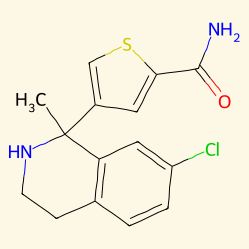 CC1(c2csc(C(N)=O)c2)NCCc2ccc(Cl)cc21